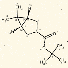 CC(C)(C)OC(=O)N1C[C@@H]2[C@H](C1)C2(C)C